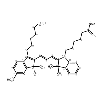 CNC(=O)CCCCCN1/C(=C/C=CC2=[N+](CCCCCC(=O)O)c3ccc(S(=O)(=O)O)cc3C2(C)C)C(C)(C)c2ccccc21